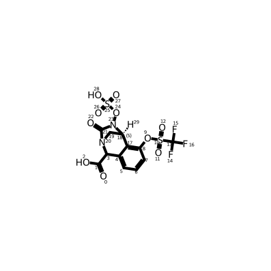 O=C(O)C1c2cccc(OS(=O)(=O)C(F)(F)F)c2[C@H]2CN1C(=O)N2OS(=O)(=O)O